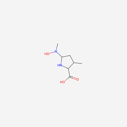 CC1CC(N(C)O)NC1C(=O)O